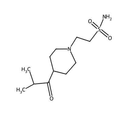 CC(C)C(=O)C1CCN(CCS(N)(=O)=O)CC1